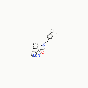 Cc1ccc(CCN2CC[C@H](C(C(N)=O)(c3ccccc3)c3ccccc3)C2)cc1